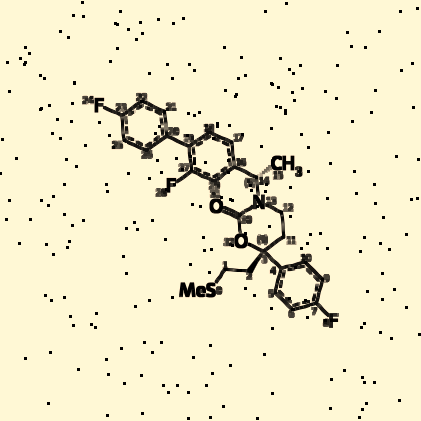 CSCC[C@]1(c2ccc(F)cc2)CCN([C@@H](C)c2ccc(-c3ccc(F)cc3)c(F)c2)C(=O)O1